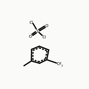 Cc1cccc(C(F)(F)F)c1.O=S(=O)(Cl)Cl